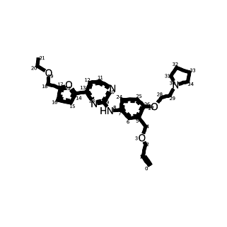 C=CCOCc1cc(Nc2nccc(-c3ccc(COCC)o3)n2)ccc1OCCN1CCCC1